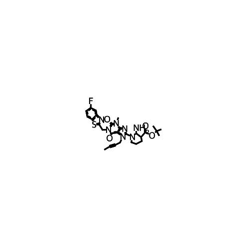 CC#CCn1c(N2CCCC(C(=O)OC(C)(C)C)C2N)nc2c1c(=O)n(Cc1nc3cc(F)ccc3s1)c(=O)n2C